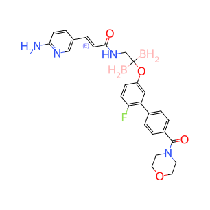 BC(B)(CNC(=O)/C=C/c1ccc(N)nc1)Oc1ccc(F)c(-c2ccc(C(=O)N3CCOCC3)cc2)c1